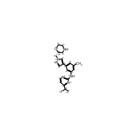 Cc1cc(Nc2nccc(C(F)F)n2)cc(-c2cnn(C[C@H]3CNCCO3)c2)c1